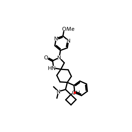 COc1ncc(N2CC3(CCC(c4ccccc4)(C(N(C)C)C4(O)CCC4)CC3)NC2=O)cn1